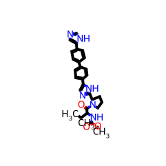 COC(=O)NC(C(=O)N1CCCC1c1ncc(-c2ccc(-c3ccc(-c4cnc[nH]4)cc3)cc2)[nH]1)C(C)C